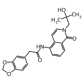 CC(C)(O)Cn1ccc2c(NC(=O)Cc3ccc4c(c3)OCO4)cccc2c1=O